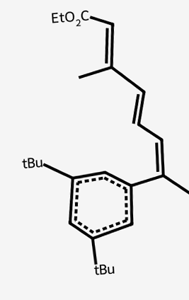 CCOC(=O)/C=C(C)/C=C/C=C(/C)c1cc(C(C)(C)C)cc(C(C)(C)C)c1